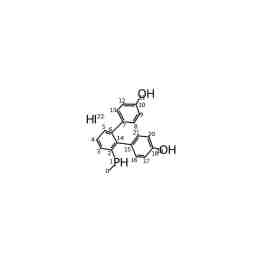 CPc1cccc(-c2ccc(O)cc2)c1-c1ccc(O)cc1.I